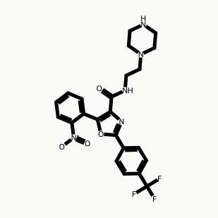 O=C(NCCN1CCNCC1)c1nc(-c2ccc(C(F)(F)F)cc2)oc1-c1ccccc1[N+](=O)[O-]